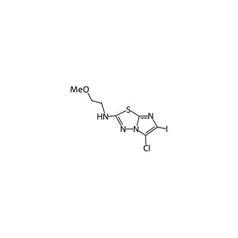 COCCNc1nn2c(Cl)c(I)nc2s1